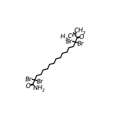 CN(C)C(=O)C(Br)(Br)CCCCCCCCCCCCC(Br)(Br)C(N)=O